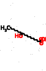 CCCCCCCC[C@H](O)CCC=CC=CC=CC=CC(=O)OO